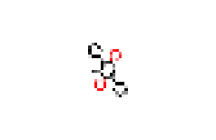 CC1=C(C2CCCC2)C(=O)C=C(C2CCCC2)C1=O